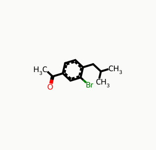 CC(=O)c1ccc(CC(C)C)c(Br)c1